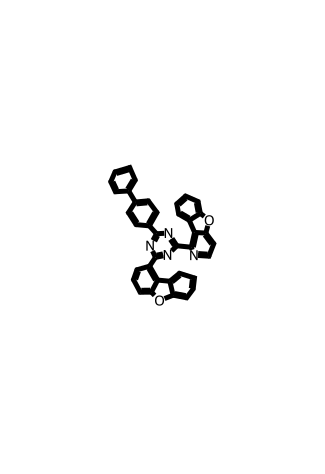 c1ccc(-c2ccc(-c3nc(-c4cccc5oc6ccccc6c45)nc(-c4nccc5oc6ccccc6c45)n3)cc2)cc1